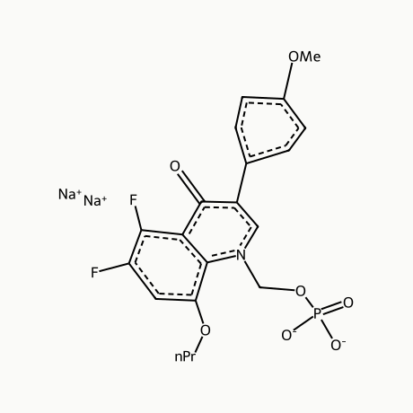 CCCOc1cc(F)c(F)c2c(=O)c(-c3ccc(OC)cc3)cn(COP(=O)([O-])[O-])c12.[Na+].[Na+]